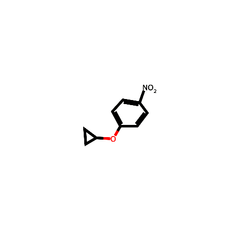 O=[N+]([O-])c1ccc(OC2CC2)cc1